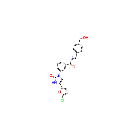 O=C(/C=C/c1ccc(CO)cc1)c1cccc(-n2cc(-c3ccc(Cl)o3)[nH]c2=O)c1